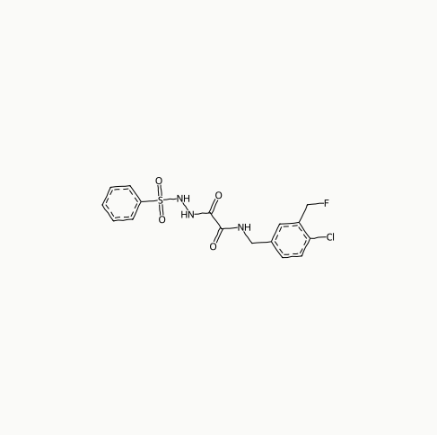 O=C(NCc1ccc(Cl)c(CF)c1)C(=O)NNS(=O)(=O)c1ccccc1